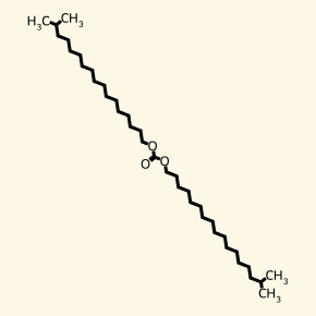 CC(C)CCCCCCCCCCCCCCCOC(=O)OCCCCCCCCCCCCCCCC(C)C